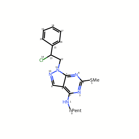 CCCCCNc1nc(SC)nc2c1cnn2CC(Cl)c1ccccc1